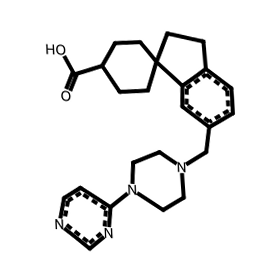 O=C(O)C1CCC2(CCc3ccc(CN4CCN(c5ccncn5)CC4)cc32)CC1